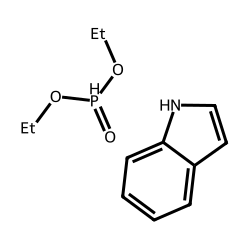 CCO[PH](=O)OCC.c1ccc2[nH]ccc2c1